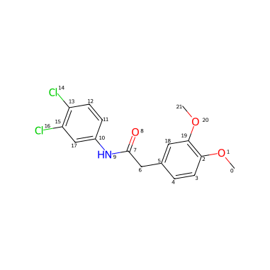 COc1ccc(CC(=O)Nc2ccc(Cl)c(Cl)c2)cc1OC